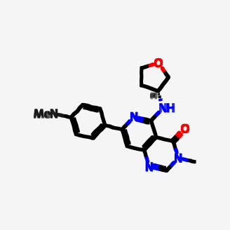 CNc1ccc(-c2cc3ncn(C)c(=O)c3c(N[C@@H]3CCOC3)n2)cc1